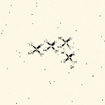 O=P(O)(O)O.O=P(O)(O)O.O=P(O)(O)O.O=P(O)(O)O.[Co]